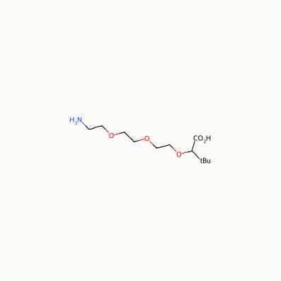 CC(C)(C)C(OCCOCCOCCN)C(=O)O